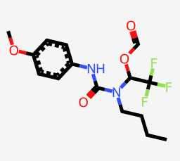 CCCCN(C(=O)Nc1ccc(OC)cc1)C(OC=O)C(F)(F)F